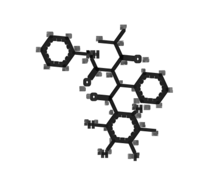 [2H]c1c([2H])c(C(=O)C(c2ccccc2)C(C(=O)Nc2ccccc2)C(=O)C(C)C)c([2H])c(C)c1F